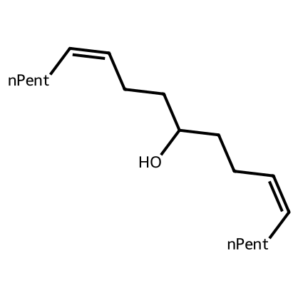 CCCCC/C=C\CCC(O)CC/C=C\CCCCC